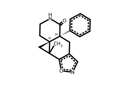 CC12C[C@]13CCNC(=O)[C@@]3(c1ccccc1)Cc1cnoc12